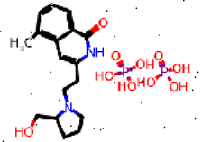 Cc1cccc2c(=O)[nH]c(CCN3CCCC3CO)cc12.O=P(O)(O)O.O=P(O)(O)O